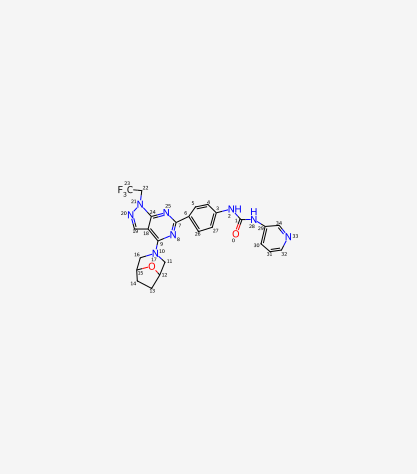 O=C(Nc1ccc(-c2nc(N3CC4CCC(C3)O4)c3cnn(CC(F)(F)F)c3n2)cc1)Nc1cccnc1